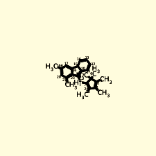 CC1=C(C)C(C)(C)[C]([Hf][C]2=C3C=CC=CC3c3cc(C)cc(C)c32)=C1C